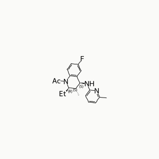 CC[C@@H]1[C@@H](C)[C@H](Nc2cccc(C)n2)c2cc(F)ccc2N1C(C)=O